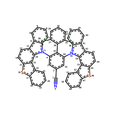 N#Cc1cc(-n2c3ccccc3c3ccc4sc5ccccc5c4c32)c(-c2c(F)cccc2F)c(-n2c3ccccc3c3ccc4sc5ccccc5c4c32)c1